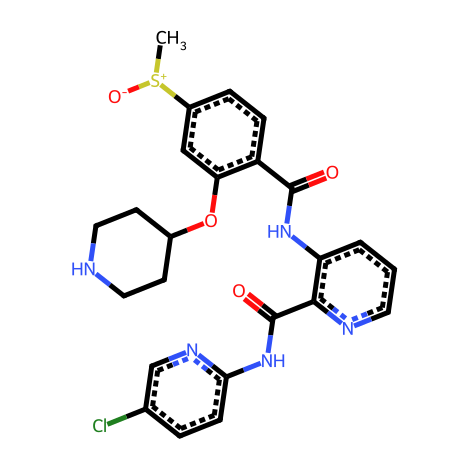 C[S+]([O-])c1ccc(C(=O)Nc2cccnc2C(=O)Nc2ccc(Cl)cn2)c(OC2CCNCC2)c1